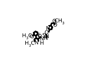 COC(=O)Cc1ccc(COc2nnc(NC(=O)c3cnc(C)cc3-c3c(F)cccc3OC)s2)nc1